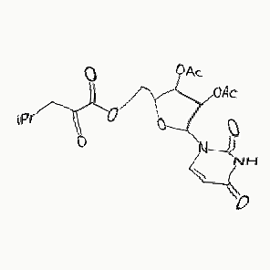 CC(=O)OC1C(COC(=O)C(=O)CC(C)C)OC(n2ccc(=O)[nH]c2=O)C1OC(C)=O